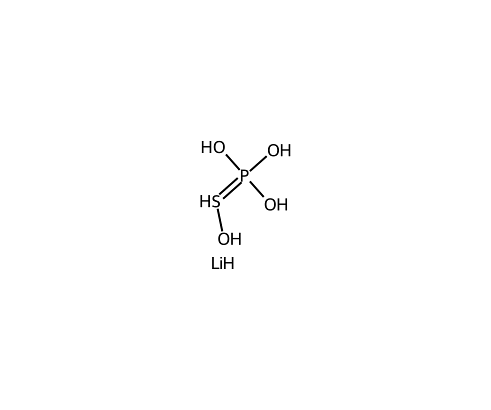 O[SH]=P(O)(O)O.[LiH]